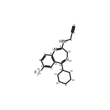 C#CCNC1=Nc2ccc(C(F)(F)F)cc2C(C2CCCCC2)=NC1